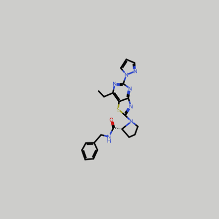 CCc1nc(-n2cccn2)nc2nc(N3CCC[C@@H]3C(=O)NCc3ccccc3)sc12